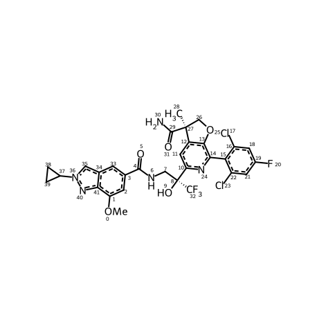 COc1cc(C(=O)NC[C@](O)(c2cc3c(c(-c4c(Cl)cc(F)cc4Cl)n2)OC[C@]3(C)C(N)=O)C(F)(F)F)cc2cn(C3CC3)nc12